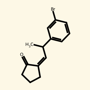 CC(C=C1CCCC1=O)c1cccc(Br)c1